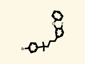 CC(C)(CCCc1ccc(F)c(Oc2ccccc2)c1)c1ccc(Br)cc1